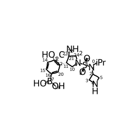 CC(C)N(C1CNC1)S(=O)(=O)N1C[C@H](c2cccc(B(O)O)c2)[C@](N)(C(=O)O)C1